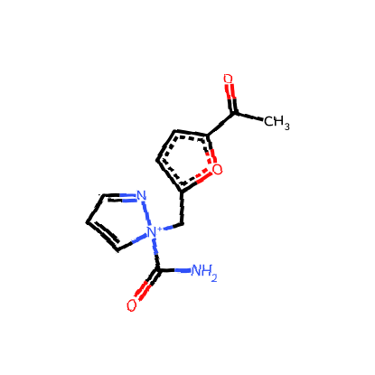 CC(=O)c1ccc(C[N+]2(C(N)=O)C=C[C]=N2)o1